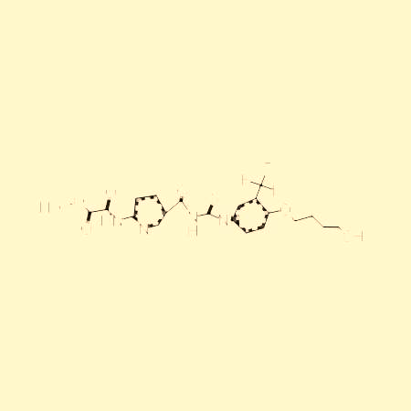 CCCCCOc1ccc(NC(=S)NC(=O)c2ccc(NC(=O)C(=O)OC)nc2)cc1C(F)(F)F